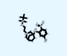 CC(C)(C)[Si](C)(C)OCCN1CC2CCC(Nc3cc(Br)ccc3[N+](=O)[O-])(CC2)C1